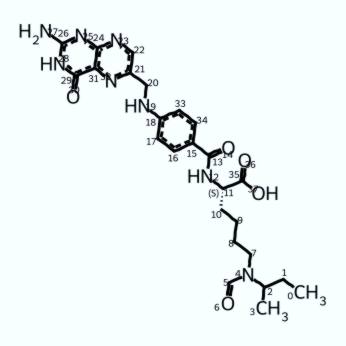 CCC(C)N(C=O)CCCC[C@H](NC(=O)c1ccc(NCc2cnc3nc(N)[nH]c(=O)c3n2)cc1)C(=O)O